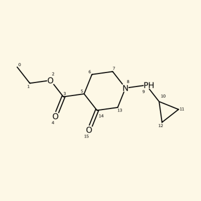 CCOC(=O)C1CCN(PC2CC2)CC1=O